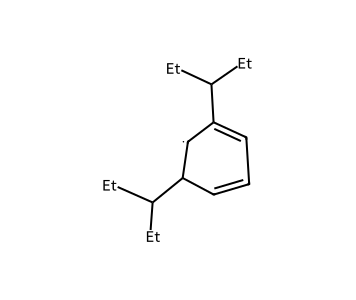 CCC(CC)C1=CC=CC(C(CC)CC)[CH]1